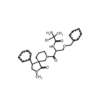 CCC(C)(N)C(=O)NC(COCc1ccccc1)C(=O)N1CCC[C@@]2(C1)C(=O)N(C)CC2c1ccccc1